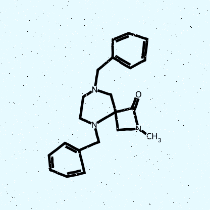 CN1CC2(CN(Cc3ccccc3)CCN2Cc2ccccc2)C1=O